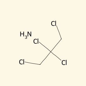 ClCC(Cl)(Cl)CCl.N